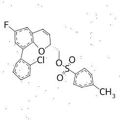 Cc1ccc(S(=O)(=O)OC[C@H]2C=Cc3cc(F)cc(-c4ccccc4Cl)c3O2)cc1